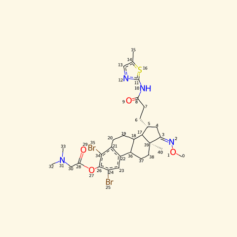 CO/N=C1/C[C@@H](CCC(=O)Nc2ncc(C)s2)C2C3CCc4c(cc(Br)c(OC(=O)CN(C)C)c4Br)C3CC[C@]12C